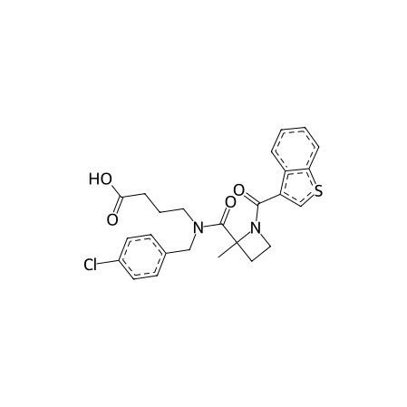 CC1(C(=O)N(CCCC(=O)O)Cc2ccc(Cl)cc2)CCN1C(=O)c1csc2ccccc12